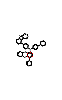 c1ccc(-c2ccc(N(c3ccc(-c4cccc5sc6ccccc6c45)cc3)c3ccc(-c4ccccc4)c4c3C3c5ccccc5C4c4ccccc43)cc2)cc1